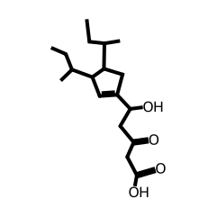 CCC(C)C1C=C(C(O)CC(=O)CC(=O)O)CC1C(C)CC